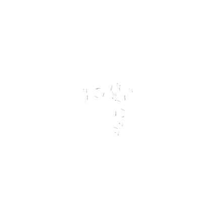 CC(C)CNc1cc(-c2ccc(NC(=O)N(C)C)cc2)nn2c(-c3ccc(C(=O)NC4CC4)cc3)cnc12